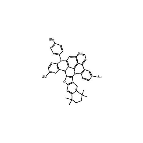 CC(C)(C)c1ccc(N2c3ccc(C(C)(C)C)cc3B3c4oc5cc6c(cc5c4N(c4ccc(C(C)(C)C)cc4-c4ccccc4)c4cc(C(C)(C)C)cc2c43)C(C)(C)CCC6(C)C)cc1